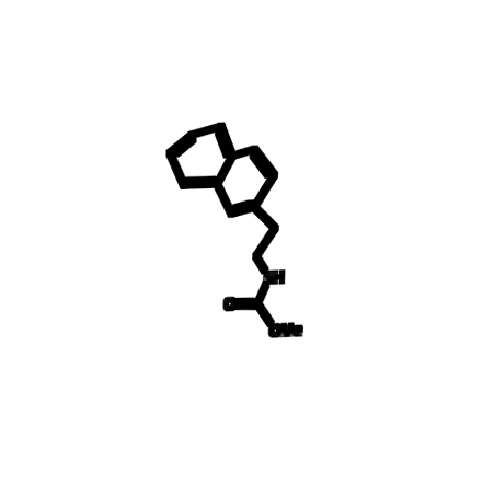 COC(=O)NCCc1ccc2ccccc2c1